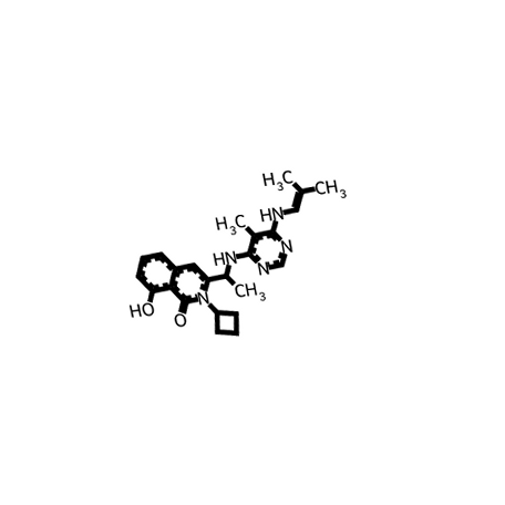 CC(C)=CNc1ncnc(NC(C)c2cc3cccc(O)c3c(=O)n2C2CCC2)c1C